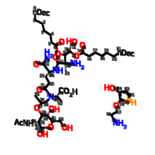 CCCCCCCCCCCCCCCC(=O)OC([C@H](CO)OC(=O)CCCCCCCCCCCCCCC)[C@@](C)(N)C(=O)N[C@H](CCC(=O)N(CC(C)O[C@H]1[C@H](O)[C@@H](CO)O[C@H](O)[C@@H]1NC(C)=O)[C@@H](C)C(=O)O)C(N)=O.NCCOc1[pH]ccc1O